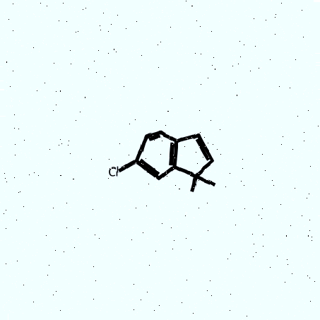 CC1(C)C=Cc2ccc(Cl)cc21